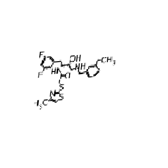 CCc1cccc(CNC[C@H](O)[C@H](Cc2cc(F)cc(F)c2)NC(=O)CSc2nc(C)cs2)c1